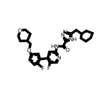 O=C(Nc1cc(-c2cc(OCC3CCOCC3)ccc2F)c(F)cn1)c1nnc(CC2CCCCC2)[nH]1